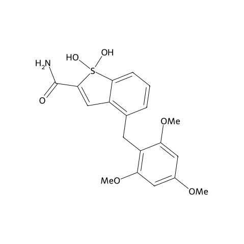 COc1cc(OC)c(Cc2cccc3c2C=C(C(N)=O)S3(O)O)c(OC)c1